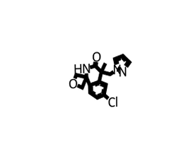 CC1(Cn2cccn2)C(=O)NC2(COC2)c2ccc(Cl)cc21